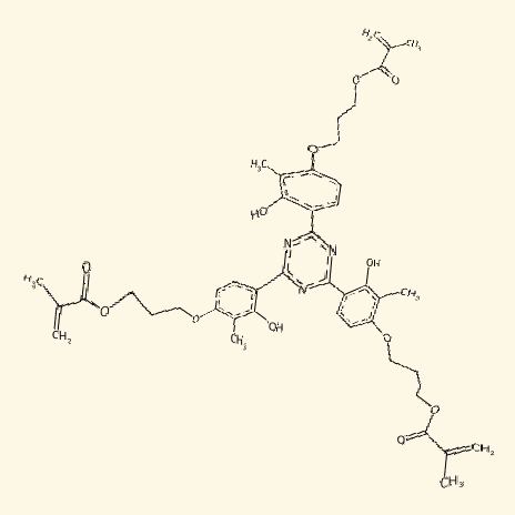 C=C(C)C(=O)OCCCOc1ccc(-c2nc(-c3ccc(OCCCOC(=O)C(=C)C)c(C)c3O)nc(-c3ccc(OCCCOC(=O)C(=C)C)c(C)c3O)n2)c(O)c1C